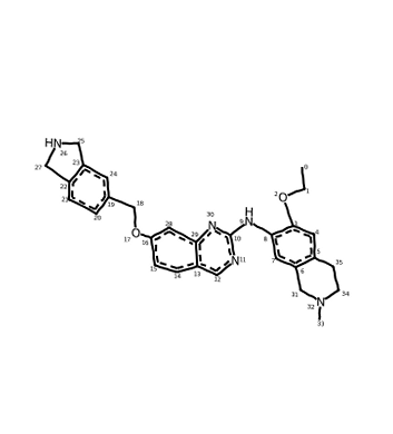 CCOc1cc2c(cc1Nc1ncc3ccc(OCc4ccc5c(c4)CNC5)cc3n1)CN(C)CC2